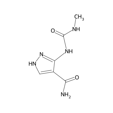 CNC(=O)Nc1n[nH]cc1C(N)=O